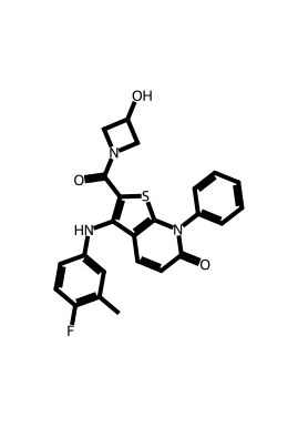 Cc1cc(Nc2c(C(=O)N3CC(O)C3)sc3c2ccc(=O)n3-c2ccccc2)ccc1F